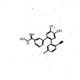 C#Cc1ccc(F)cc1-c1cc(O)c(C(F)(F)F)cc1-c1cccc(C(=N)NO)c1